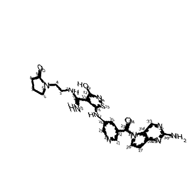 N=C(NCCN1CCCC1=O)c1c(O)nsc1Nc1cncc(C(=O)n2ccc3nc(N)ncc32)c1